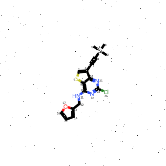 C[Si](C)(C)C#Cc1csc2c(NCc3ccco3)nc(Cl)nc12